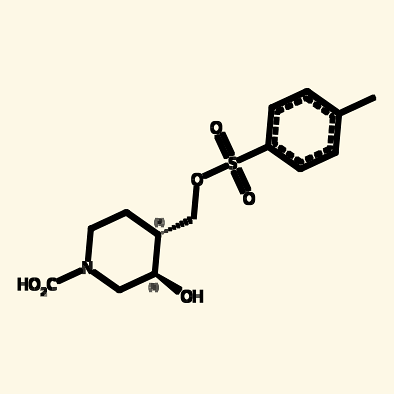 Cc1ccc(S(=O)(=O)OC[C@H]2CCN(C(=O)O)C[C@@H]2O)cc1